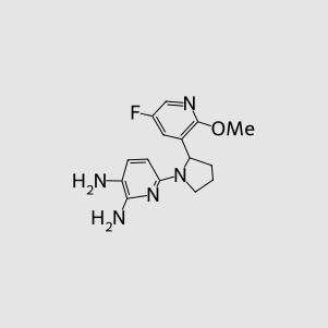 COc1ncc(F)cc1C1CCCN1c1ccc(N)c(N)n1